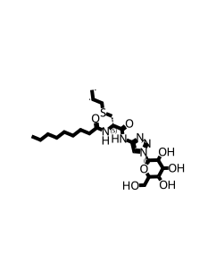 [CH2][CH]CSC[C@@H](NC(=O)CCCCCCCC)C(=O)Nc1cn([C@@H]2OC(CO)C(O)C(O)C2O)nn1